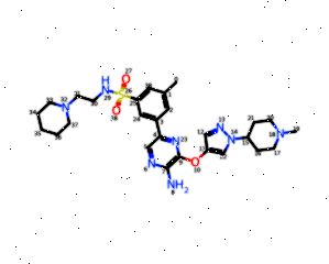 Cc1cc(-c2cnc(N)c(Oc3cnn(C4CCN(C)CC4)c3)n2)cc(S(=O)(=O)NCCN2CCCCC2)c1